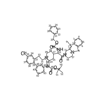 CSc1ccccc1CN1CCN(C(=O)[C@H](NC(=O)OCc2ccccc2)C2CCN(CCc3cc(Cl)ccc3-c3cccc(NC(=O)OC(C)(C)C)c3)CC2)CC1